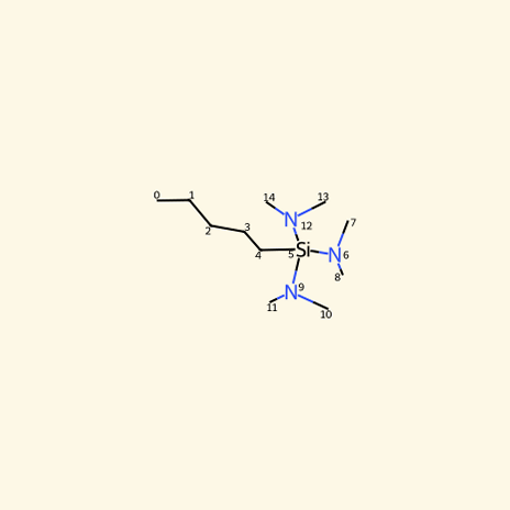 CCCCC[Si](N(C)C)(N(C)C)N(C)C